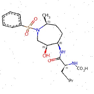 CC(C)C[C@H](NC(=O)O)C(=O)N[C@@H]1CC[C@H](C)N(S(=O)(=O)c2ccccc2)C[C@@H]1O